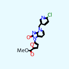 COC(=O)c1ccc(-n2c3cccn(Cc4ccc(Cl)nc4)c-3nc2=O)o1